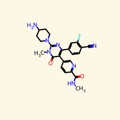 CNC(=O)c1ccc(-c2c(-c3ccc(C#N)c(F)c3)nc(N3CCC(N)CC3)n(C)c2=O)cn1